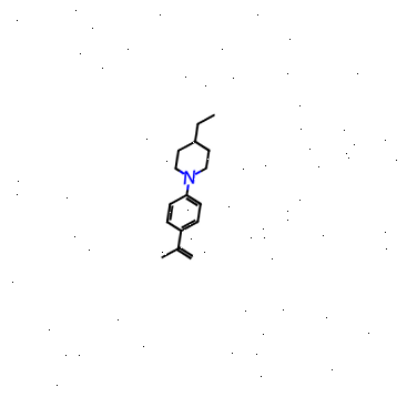 C=C(C)c1ccc(N2CCC(CC)CC2)cc1